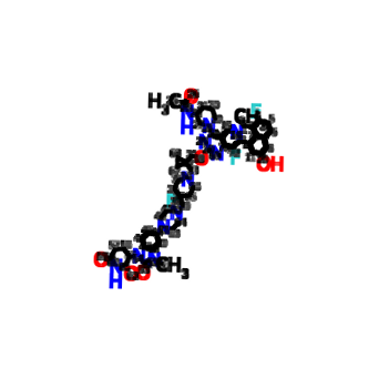 CCc1c(F)ccc2cc(O)cc(-c3ncc4c(N5CCC[C@@H](NC(C)=O)C5)nc(OCC5(CN6CCC(F)(CN7CCN(c8ccc9c(c8)n(C)c(=O)n9C8CCC(=O)NC8=O)CC7)CC6)CC5)nc4c3F)c12